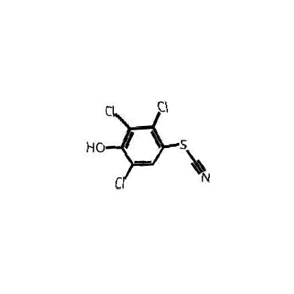 N#CSc1cc(Cl)c(O)c(Cl)c1Cl